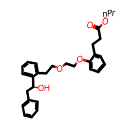 CCCOC(=O)CCc1ccccc1OCCOCCc1ccccc1[C@@H](O)Cc1ccccc1